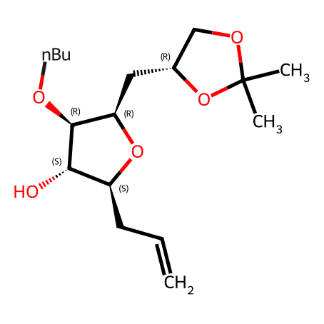 C=CC[C@@H]1O[C@H](C[C@@H]2COC(C)(C)O2)[C@H](OCCCC)[C@H]1O